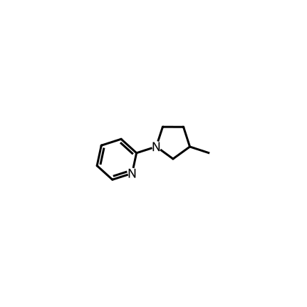 CC1CCN(c2ccccn2)C1